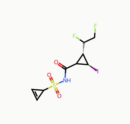 O=C(NS(=O)(=O)C1C=C1)C1[C@H](C(F)CF)[C@H]1I